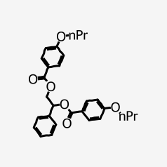 CCCOc1ccc(C(=O)OCC(OC(=O)c2ccc(OCCC)cc2)c2ccccc2)cc1